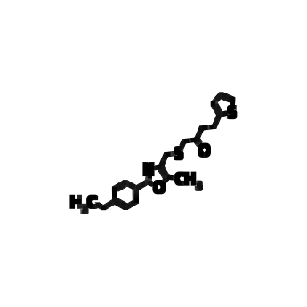 CCc1ccc(-c2nc(CSCC(=O)CCc3cccs3)c(C)o2)cc1